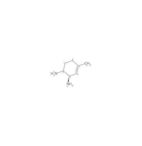 CC1=C[C@@H](N)C(N)CC1